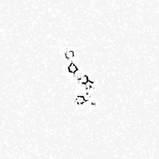 O=S(=O)(c1ccccc1OC(F)F)n1ncc2cnc(Nc3ccc(N4CCNCC4)cc3)nc21